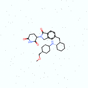 COC[C@H]1CC[C@@H](N[C@H]2CCCC[C@@H]2Cc2ccc3c(c2)CN(C2CCC(=O)NC2=O)C3=O)CC1